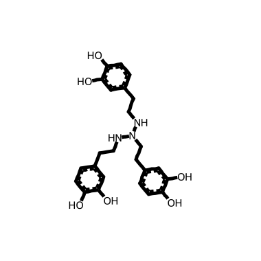 Oc1ccc(CCNN(CCc2ccc(O)c(O)c2)NCCc2ccc(O)c(O)c2)cc1O